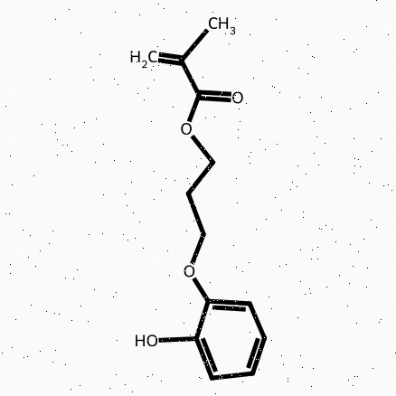 C=C(C)C(=O)OCCCOc1ccccc1O